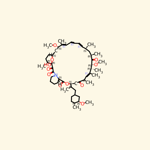 CO[C@H]1C[C@@H]2CC[C@@H](C)[C@@](O)(O2)C(=O)C(=O)N2CCCC[C@H]2C(=O)O[C@H]([C@H](C)CC2CC[C@@H](C)[C@H](OC)C2)CC(=O)[C@H](C)/C=C(\C)[C@@H](C)[C@@H](OC)C(=O)[C@H](C)C[C@H](C)/C=C/C=C/C=C/1C